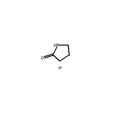 O=C1CCCN1.[H]